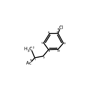 CC(=O)C(C)Cc1ccc(Cl)cc1